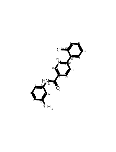 Cc1cccc(NC(=O)c2ccc(-c3ccccc3Cl)nc2)c1